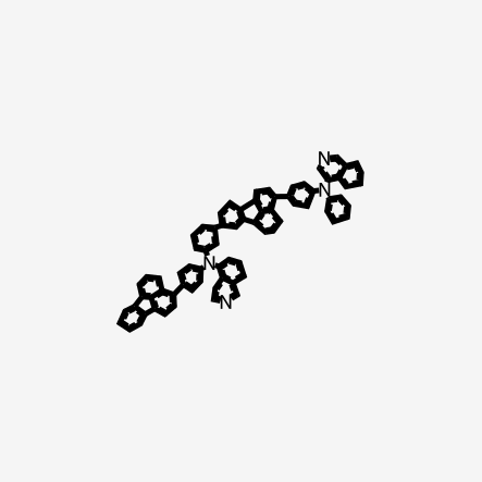 c1ccc(N(c2ccc(-c3ccc4c5c(cccc35)-c3cc(-c5cccc(N(c6ccc(-c7ccc8c9c(cccc79)-c7ccccc7-8)cc6)c6cccc7cnccc67)c5)ccc3-4)cc2)c2cncc3ccccc23)cc1